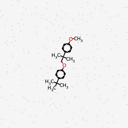 COc1ccc(C(C)(C)COc2ccc(C(C)(C)C)cc2)cc1